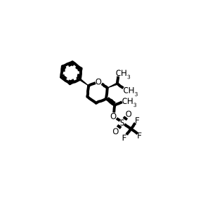 C/C(OS(=O)(=O)C(F)(F)F)=C1/CC[C@@H](c2ccccc2)O[C@H]1C(C)C